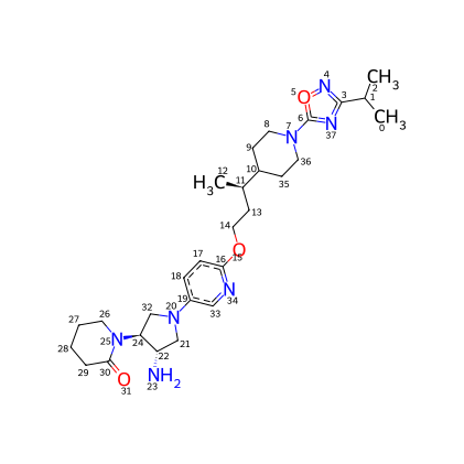 CC(C)c1noc(N2CCC([C@H](C)CCOc3ccc(N4C[C@H](N)[C@@H](N5CCCCC5=O)C4)cn3)CC2)n1